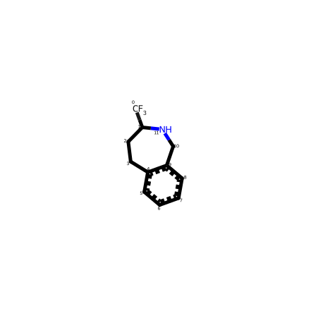 FC(F)(F)C1CCc2ccccc2CN1